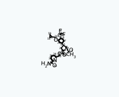 CC(=O)N1CC(c2ccc(OC(F)F)c(OCC3CC3)c2)C[C@@H]1C(=O)OCc1cccc(C(N)=O)n1